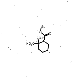 CC(C)(C)OC(=O)N1CCCCC1(C(=O)O)C(=O)O